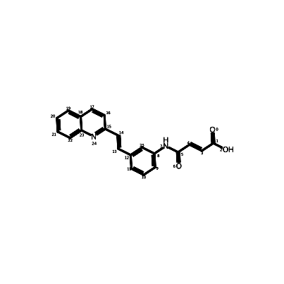 O=C(O)C=CC(=O)Nc1cccc(C=Cc2ccc3ccccc3n2)c1